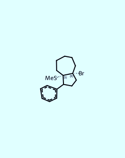 CS[C@]12CCCCC[C@@]1(Br)CCC2c1ccccc1